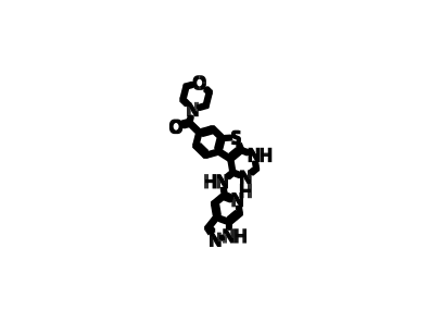 O=C(c1ccc2c3c(sc2c1)NCNC3Nc1cc2cn[nH]c2cn1)N1CCOCC1